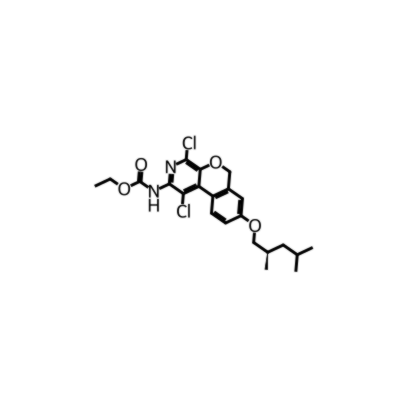 CCOC(=O)Nc1nc(Cl)c2c(c1Cl)-c1ccc(OC[C@H](C)CC(C)C)cc1CO2